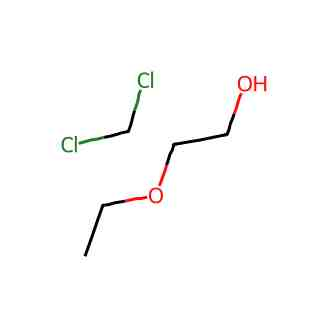 CCOCCO.ClCCl